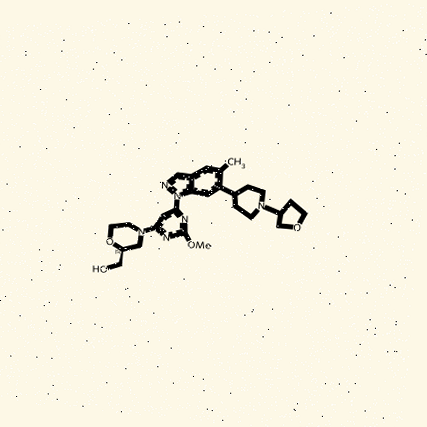 COc1nc(N2CCO[C@H](CO)C2)cc(-n2ncc3cc(C)c(C4CCN(C5CCOC5)CC4)cc32)n1